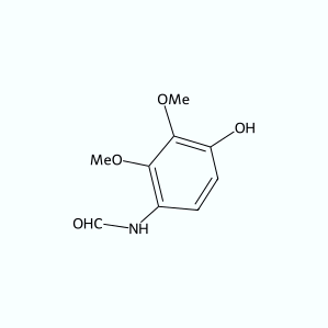 COc1c(O)ccc(NC=O)c1OC